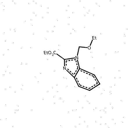 CCOCn1c(C(=O)OCC)nc2ccccc21